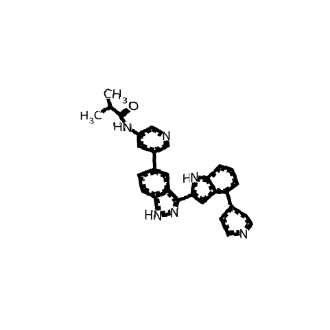 CC(C)C(=O)Nc1cncc(-c2ccc3[nH]nc(-c4cc5c(-c6ccncc6)cccc5[nH]4)c3c2)c1